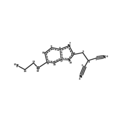 N#CC(C#N)Cc1nc2ccc(OCCF)cc2s1